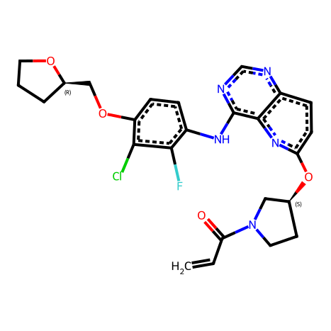 C=CC(=O)N1CC[C@H](Oc2ccc3ncnc(Nc4ccc(OC[C@H]5CCCO5)c(Cl)c4F)c3n2)C1